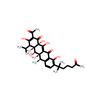 CC(=O)CCCC(C)(C)c1ccc2c(c1O)C(=O)C1=C(O)[C@@]3(O)C(=O)C(C(C)=O)=C(O)C(C(C)C)[C@@]3(C)[C@H](O)[C@@]1(C)[C@@H]2C